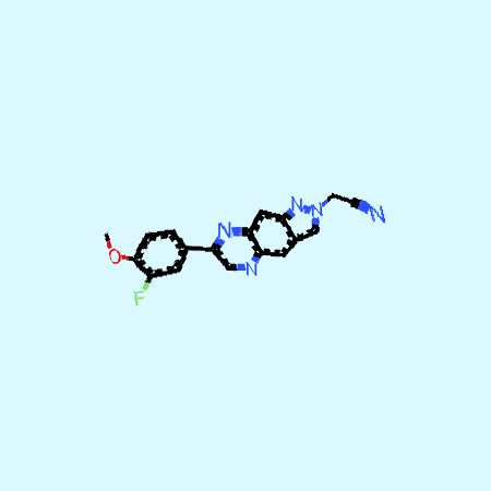 COc1ccc(-c2cnc3cc4cn(CC#N)nc4cc3n2)cc1F